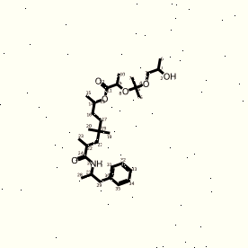 CC(O)COC(C)(C)OC(C)C(=O)OC(C)CCC(C)(C)CC(C)C(=O)NC(C)Cc1ccccc1